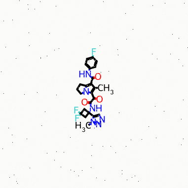 Cc1c(C(=O)Nc2ccc(F)cc2)c2n(c1C(=O)C(=O)NC1(c3cnnn3C)CC(F)(F)C1)CCC2